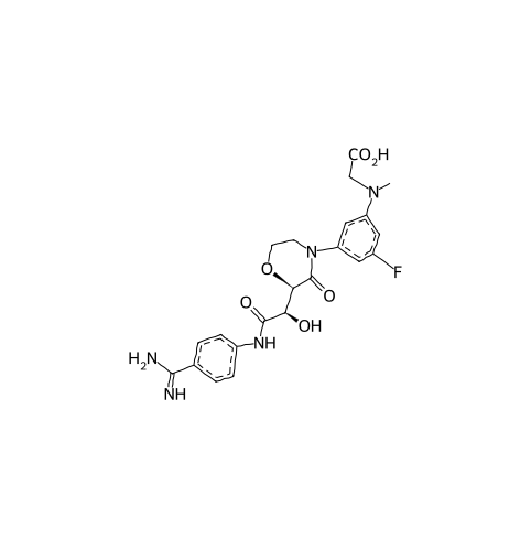 CN(CC(=O)O)c1cc(F)cc(N2CCO[C@H]([C@@H](O)C(=O)Nc3ccc(C(=N)N)cc3)C2=O)c1